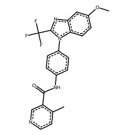 COc1ccc2c(c1)nc(C(F)(F)F)n2-c1ccc(NC(=O)c2cnccc2C)cc1